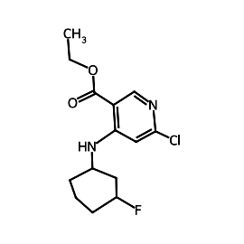 CCOC(=O)c1cnc(Cl)cc1NC1CCCC(F)C1